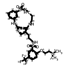 CN(C)CCOc1ccc(C(F)(F)F)cc1S(=O)(=O)NCCc1cnc2nc1NCCCNS(=O)(=O)c1cccc(c1)N2